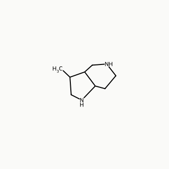 CC1CNC2CCNCC12